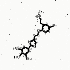 CCCNCCc1cc(CC)ccc1OCCc1coc(-c2cc(C(C)(C)C)c(O)c(C(C)(C)C)c2)n1